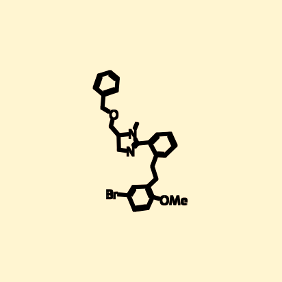 COc1ccc(Br)cc1CCc1ccccc1C1=NCC(COCc2ccccc2)N1C